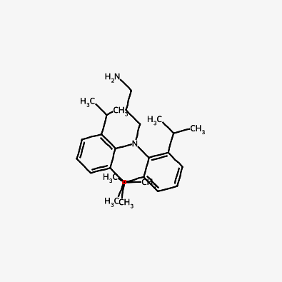 CC(C)c1cccc(C(C)C)c1N(CCCN)c1c(C(C)C)cccc1C(C)C